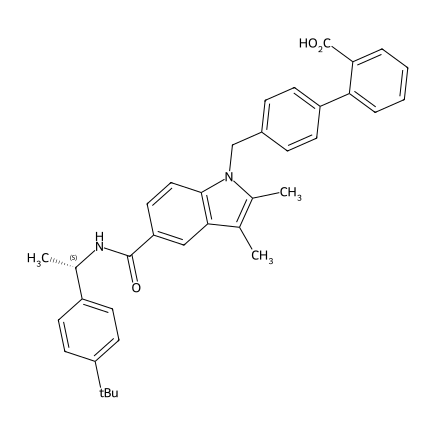 Cc1c(C)n(Cc2ccc(-c3ccccc3C(=O)O)cc2)c2ccc(C(=O)N[C@@H](C)c3ccc(C(C)(C)C)cc3)cc12